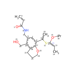 C=CC(=O)NCc1cc(C(=C)S/C(=C\C)OC(C)C)c2c(c1CO)CCCO2